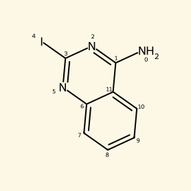 Nc1nc(I)nc2ccccc12